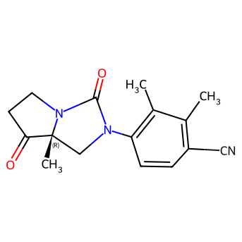 Cc1c(C#N)ccc(N2C[C@]3(C)C(=O)CCN3C2=O)c1C